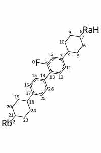 Fc1cc(C2CC[CH]([RaH])CC2)ccc1-c1ccc(C2CC[CH]([Rb])CC2)cc1